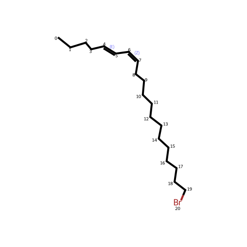 CCCC/C=C/C=C\CCCCCCCCCCCCBr